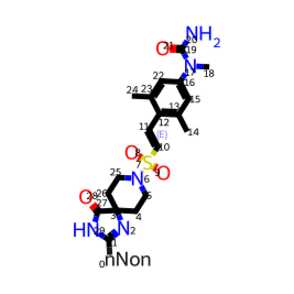 CCCCCCCCCC1=NC2(CCN(S(=O)(=O)/C=C/c3c(C)cc(N(C)C(N)=O)cc3C)CC2)C(=O)N1